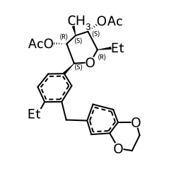 CCc1ccc([C@@H]2O[C@H](CC)[C@@H](OC(C)=O)[C@H](C)[C@H]2OC(C)=O)cc1Cc1ccc2c(c1)OCCO2